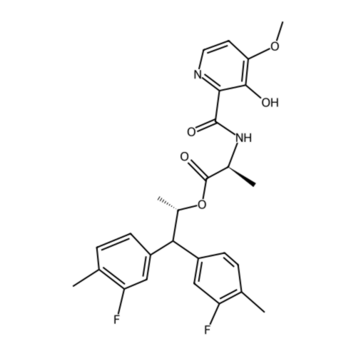 COc1ccnc(C(=O)N[C@@H](C)C(=O)O[C@@H](C)C(c2ccc(C)c(F)c2)c2ccc(C)c(F)c2)c1O